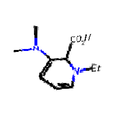 CCN1C=CC=C(N(C)C)C1C(=O)O